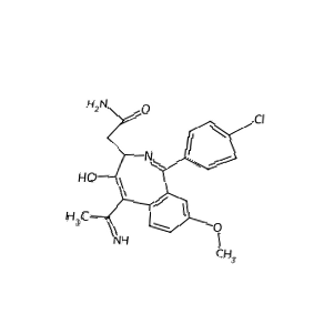 COc1ccc2c(c1)C(c1ccc(Cl)cc1)=NC(CC(N)=O)C(O)=C2C(C)=N